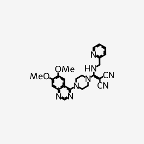 COc1cc2ncnc(N3CCN(C(NCc4ccccn4)=C(C#N)C#N)CC3)c2cc1OC